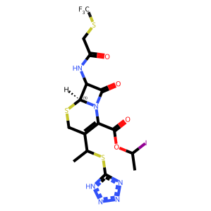 CC(I)OC(=O)C1=C(C(C)Sc2nnn[nH]2)CS[C@H]2C(NC(=O)CSC(F)(F)F)C(=O)N12